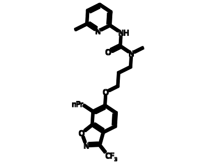 CCCc1c(OCCCN(C)C(=O)Nc2cccc(C)n2)ccc2c(C(F)(F)F)noc12